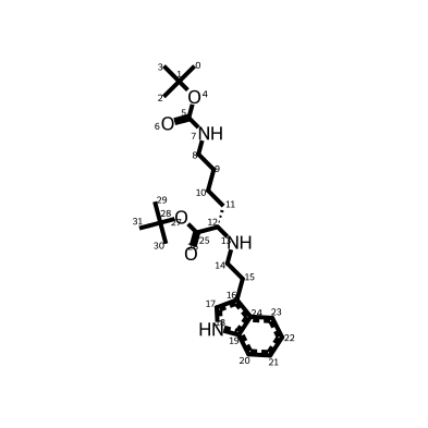 CC(C)(C)OC(=O)NCCCC[C@H](NCCc1c[nH]c2ccccc12)C(=O)OC(C)(C)C